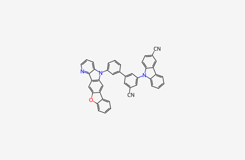 N#Cc1cc(-c2cccc(-n3c4cc5c(cc4c4ncccc43)oc3ccccc35)c2)cc(-n2c3ccccc3c3cc(C#N)ccc32)c1